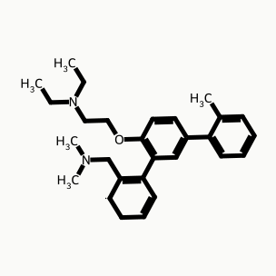 CCN(CC)CCOc1ccc(-c2ccccc2C)cc1C1=C(CN(C)C)[CH]CC=C1